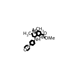 CONC(=O)C1=CC2=C([C@@H](C)C1)N(C(C)=O)C(C)CC2Nc1ccc(N2CCOCC2)cc1